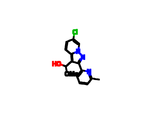 COC(O)c1c(-c2cccc(C)n2)nn2cc(Cl)ccc12